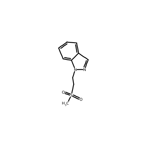 CS(=O)(=O)CCn1ncc2c[c]ccc21